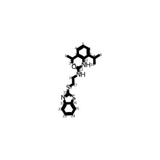 CC(C)c1cccc(C(C)C)c1NC(=O)NCCSc1nc2ccccc2s1